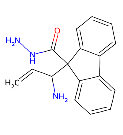 C=CC(N)C1(C(=O)NN)c2ccccc2-c2ccccc21